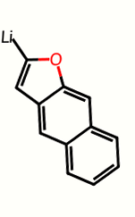 [Li][c]1cc2cc3ccccc3cc2o1